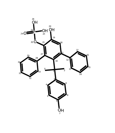 CC(C)(c1ccc(O)cc1)c1c(-c2ccccc2)cc(O)c(OP(=O)(O)O)c1-c1ccccc1